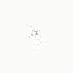 COC(CO)C(O)C(F)C(C)n1cnc2c(NC3CCC3)nc(C(F)(F)F)nc21